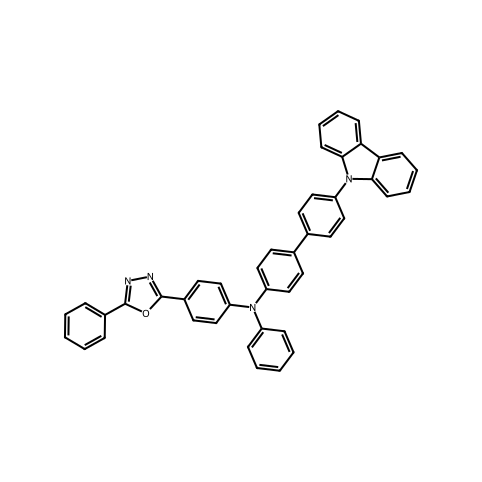 c1ccc(-c2nnc(-c3ccc(N(c4ccccc4)c4ccc(-c5ccc(-n6c7ccccc7c7ccccc76)cc5)cc4)cc3)o2)cc1